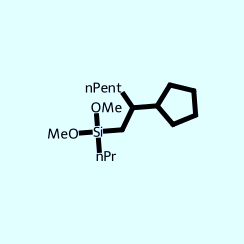 CCCCCC(C[Si](CCC)(OC)OC)C1CCCC1